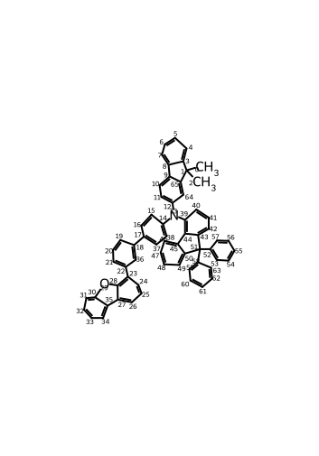 CC1(C)c2ccccc2-c2ccc(N(c3ccc(-c4cccc(-c5cccc6c5oc5ccccc56)c4)cc3)c3cccc4c3-c3ccccc3C4(c3ccccc3)c3ccccc3)cc21